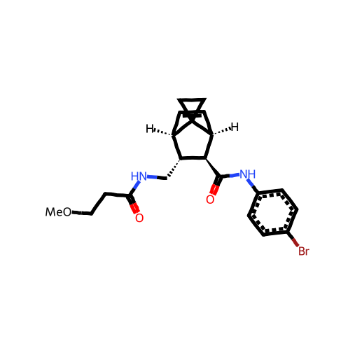 COCCC(=O)NC[C@H]1[C@H](C(=O)Nc2ccc(Br)cc2)[C@@H]2C=C[C@H]1C21CC1